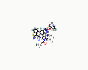 C=CC(=O)N1CC[C@@H](N(C)c2nc(OC[C@@]34CCCN3C[C@H](F)C4)nc3c(F)c(-c4ccc(F)c5sc(N)c(C#N)c45)ccc23)[C@H]1C